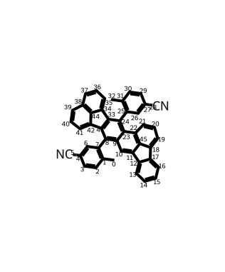 Cc1ccc(C#N)cc1-c1c2cc3c4ccccc4c4cccc(c2c(-c2cc(C#N)ccc2C)c2c5cccc6cccc(c12)c65)c43